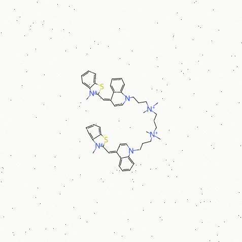 C[n+]1c(C=C2C=CN(CCC[N+](C)(C)CCC[N+](C)(C)CCCN3C=CC(=Cc4sc5ccccc5[n+]4C)c4ccccc43)c3ccccc32)sc2ccccc21